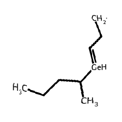 [CH2]C[CH]=[GeH][CH](C)CCC